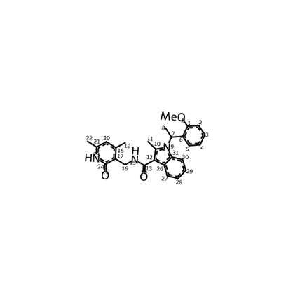 COc1ccccc1C(C)n1c(C)c(C(=O)NCc2c(C)cc(C)[nH]c2=O)c2ccccc21